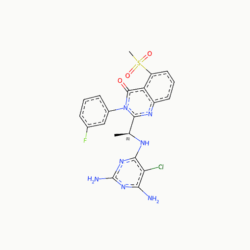 C[C@H](Nc1nc(N)nc(N)c1Cl)c1nc2cccc(S(C)(=O)=O)c2c(=O)n1-c1cccc(F)c1